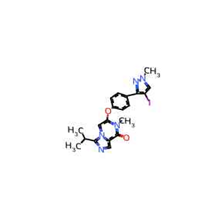 CC(C)c1ncc2c(=O)n(C)c(Oc3ccc(-c4nn(C)cc4I)cc3)cn12